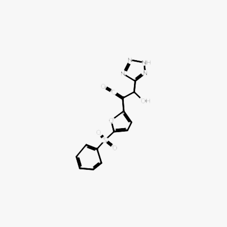 O=C=C(c1ccc(S(=O)(=O)c2ccccc2)o1)C(O)c1nn[nH]n1